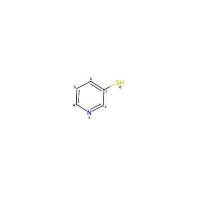 Sc1[c]nccc1